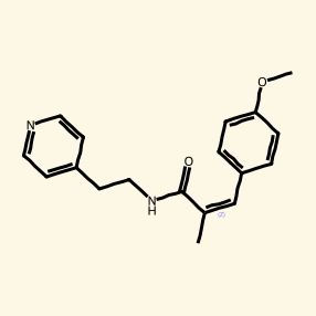 COc1ccc(/C=C(/C)C(=O)NCCc2ccncc2)cc1